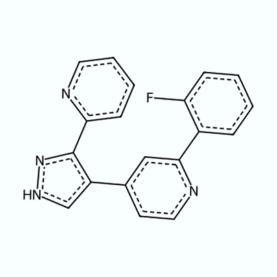 Fc1ccccc1-c1cc(-c2c[nH]nc2-c2ccccn2)ccn1